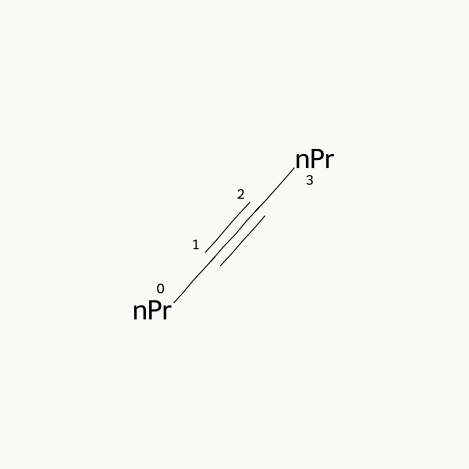 [CH2]CCC#CCCC